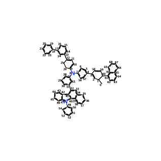 CC1C=C(c2ccc(N(C3=CC=C(c4cccc(-c5ccccc5)c4)CC3)c3cccc(-c4cc5ccccc5c5c4c4ccccc4n5-c4ccccc4)c3)cc2)C=CC1c1cccc2ccccc12